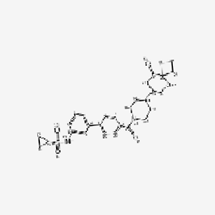 O=C(c1ccc(-c2cccc(NS(=O)(=O)C3CC3)c2)cc1)N1CCC(C2COC3(CCC3)C(=O)C2)CC1